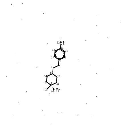 CCC[C@]1(C)CC[C@H](CCc2ccc(CC)cc2)CC1